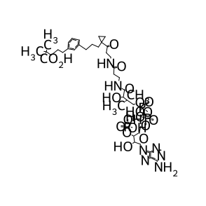 CC(C)(CCCc1cccc(CCCC2(C(=O)CCNC(=O)CCNC(=O)C(O)C(C)(C)COP(=O)(O)OP(=O)(O)OCC3OC(n4cnc5c(N)ncnc54)C(O)C3OP(=O)(O)O)CC2)c1)C(=O)O